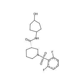 O=C(NC1CCC(O)CC1)[C@H]1CCCN(S(=O)(=O)c2c(F)cccc2F)C1